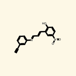 C#Cc1cccc(/N=C/C=C/c2cc([N+](=O)[O-])ccc2O)c1